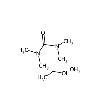 CCO.CN(C)C(=O)N(C)C.O